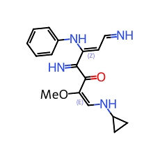 CO/C(=C/NC1CC1)C(=O)C(=N)/C(=C/C=N)Nc1ccccc1